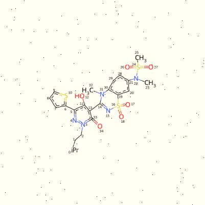 CC(C)CCn1nc(-c2cccs2)c(O)c(C2=NS(=O)(=O)c3cc(N(C)S(C)(=O)=O)ccc3N2C)c1=O